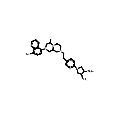 COC1CN(c2ccc(CCN3CCN4C(C)CN(c5ccc(C#N)c6ncccc56)CC4C3)cn2)CC1N